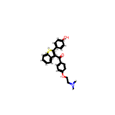 CN(C)CCOc1ccc(C(=O)c2c(-c3ccc(O)cc3)sc3ccccc23)cc1